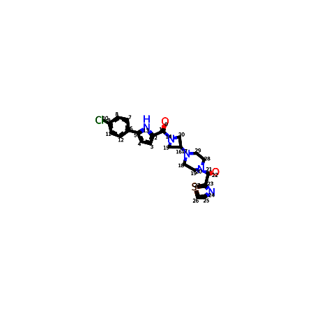 O=C(c1ccc(-c2ccc(Cl)cc2)[nH]1)N1CC(N2CCN(C(=O)c3nccs3)CC2)C1